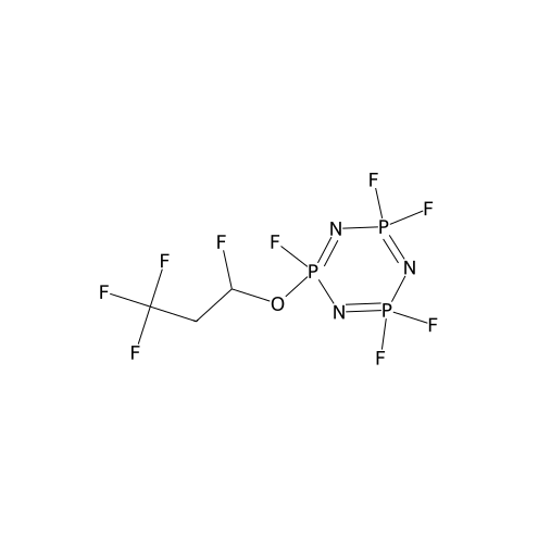 FC(CC(F)(F)F)OP1(F)=NP(F)(F)=NP(F)(F)=N1